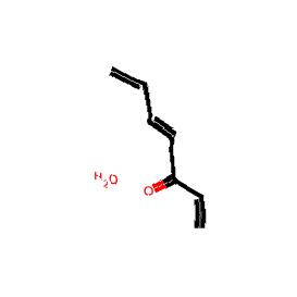 C=CC=CC(=O)C=C.O